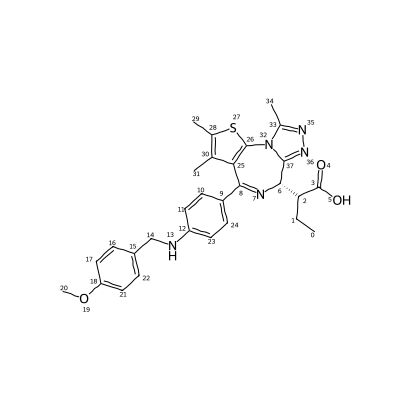 CCC(C(=O)O)[C@@H]1N=C(c2ccc(NCc3ccc(OC)cc3)cc2)c2c(sc(C)c2C)-n2c(C)nnc21